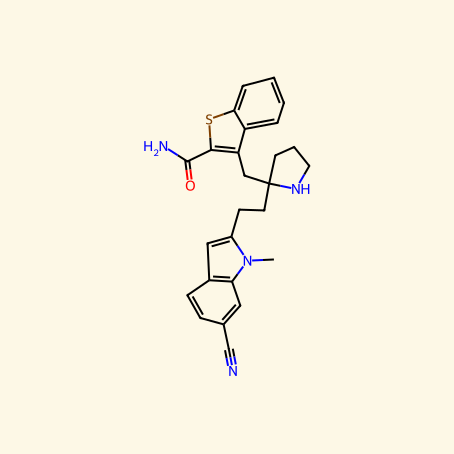 Cn1c(CCC2(Cc3c(C(N)=O)sc4ccccc34)CCCN2)cc2ccc(C#N)cc21